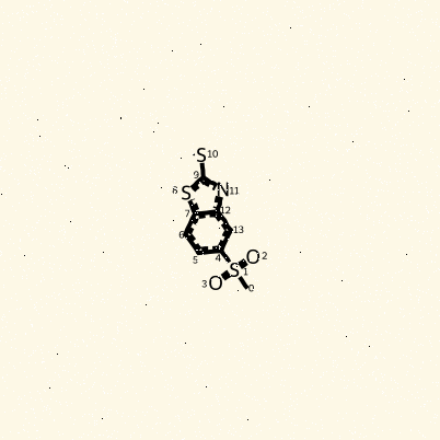 CS(=O)(=O)c1ccc2sc([S])nc2c1